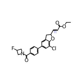 CCOC(=O)/C=C/C1Cc2cc(-c3ccc(C(=O)N4CC(F)C4)cc3)cc(Cl)c2O1